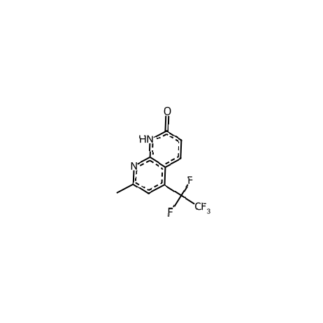 Cc1cc(C(F)(F)C(F)(F)F)c2ccc(=O)[nH]c2n1